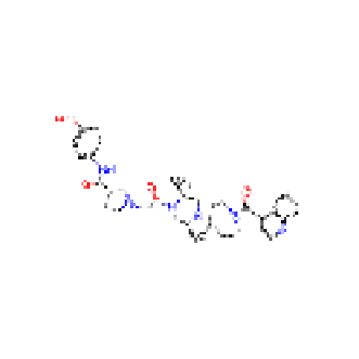 C[C@H]1CN(C2(C)CCN(C(=O)c3ccnc4ccccc34)CC2)CCN1C(=O)CN1CCC(C(=O)Nc2ccc(O)cc2)C1